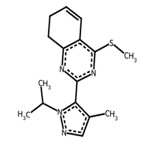 CSc1nc(-c2c(C)cnn2C(C)C)nc2c1C=CCC2